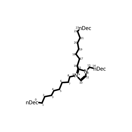 CCCCCCCCCCCCCCCCCC[n+]1ccn(CCCCCCCCCCC)c1CCCCCCCCCCCCCCCCC